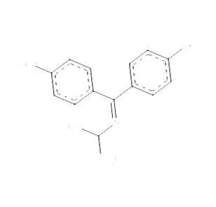 O=C(O)C(O)N=C(c1ccc(O)cc1)c1ccc(O)cc1